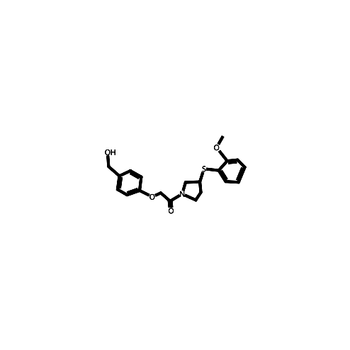 COc1ccccc1SC1CCN(C(=O)COc2ccc(CO)cc2)C1